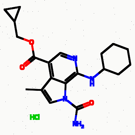 Cc1cn(C(N)=O)c2c(NC3CCCCC3)ncc(C(=O)OCC3CC3)c12.Cl